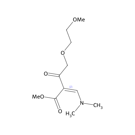 COCCOCC(=O)/C(=C/N(C)C)C(=O)OC